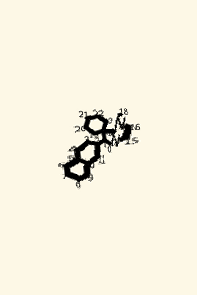 CC(c1ccc2ccccc2c1)C1(c2nccn2C)CCCCC1